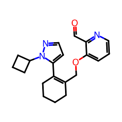 O=Cc1ncccc1OCC1=C(c2ccnn2C2CCC2)CCCC1